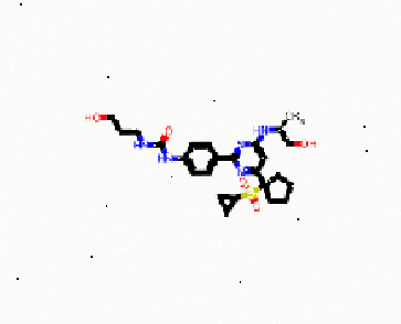 C[C@@H](CO)Nc1cc(C2(S(=O)(=O)C3CC3)CCCC2)nc(-c2ccc(NC(=O)NCCCO)cc2)n1